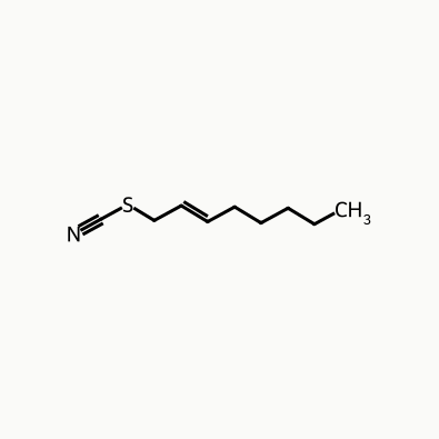 CCCCCC=CCSC#N